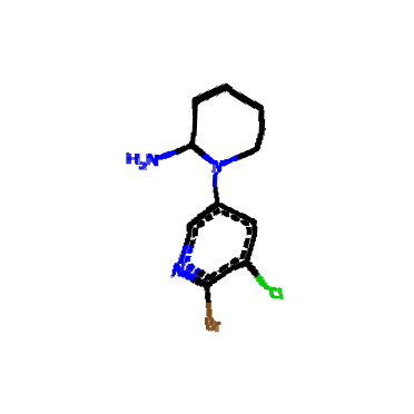 NC1CCCCN1c1cnc(Br)c(Cl)c1